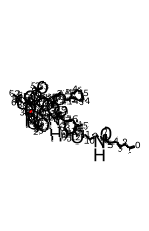 C=CCCCCC(=O)NCCCOc1c(C)cc(C(=O)NC[C@@H](OC(C)=O)[C@@H](OC(C)=O)[C@@H]2O[C@@](CC=C)(C(=O)OCc3ccccc3)C[C@H](OC(C)=O)[C@H]2NC(=O)OC(C)(C)C)cc1C